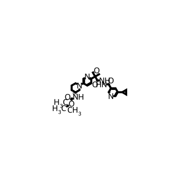 CC(C)(C)OC(=O)N[C@@H]1CCCN(c2ccc(C3(C(=O)NNC(=O)c4cncc(C5CC5)c4)COC3)nc2)C1